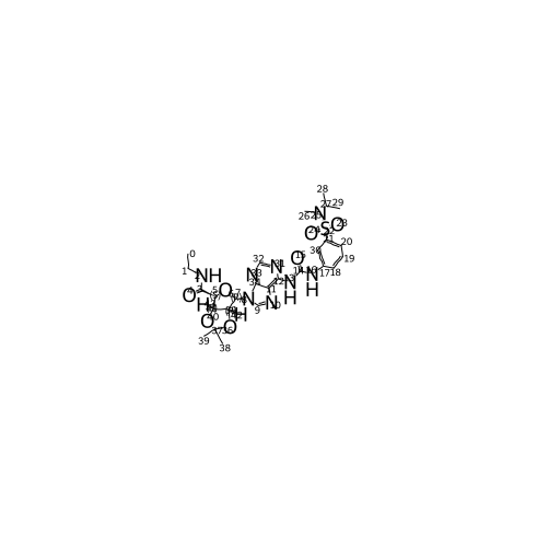 CCNC(=O)[C@H]1O[C@@H](n2cnc3c(NC(=O)Nc4cccc(S(=O)(=O)N(C)C(C)C)c4)ncnc32)[C@@H]2OC(C)(C)O[C@@H]21